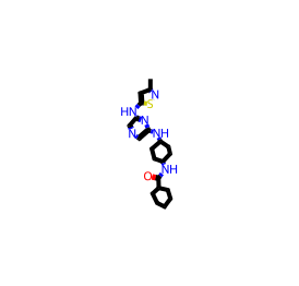 Cc1cc(Nc2cncc(NC3CCC(NC(=O)C4CCCCC4)CC3)n2)sn1